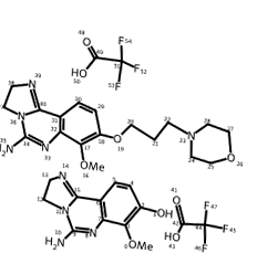 COc1c(O)ccc2c1N=C(N)N1CCN=C21.COc1c(OCCCN2CCOCC2)ccc2c1N=C(N)N1CCN=C21.O=C(O)C(F)(F)F.O=C(O)C(F)(F)F